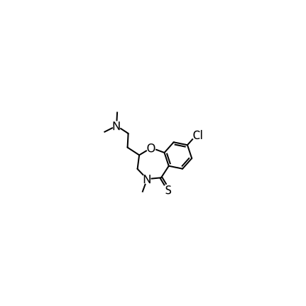 CN(C)CCC1CN(C)C(=S)c2ccc(Cl)cc2O1